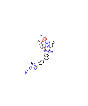 COC(=O)N[C@H](C(=O)N1CC2(CC2)C[C@H]1c1ncc(-c2ccc3cc(-c4ccc(-c5cnc([C@@H]6C[C@H](C#N)CN6)n5C)cc4)ccc3c2)[nH]1)C(C)C